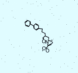 COC(=O)c1csc(CC(C=O)CCCc2ccc(-c3ccccc3)cc2)n1